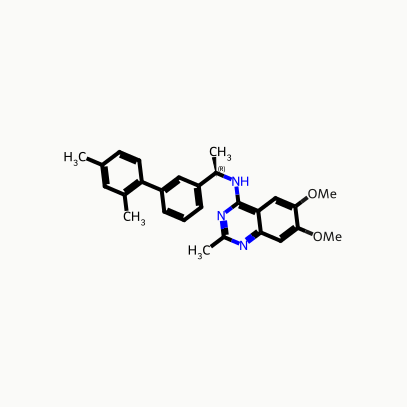 COc1cc2nc(C)nc(N[C@H](C)c3cccc(-c4ccc(C)cc4C)c3)c2cc1OC